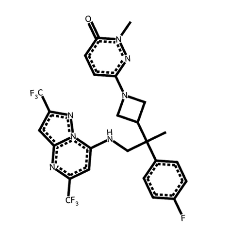 Cn1nc(N2CC(C(C)(CNc3cc(C(F)(F)F)nc4cc(C(F)(F)F)nn34)c3ccc(F)cc3)C2)ccc1=O